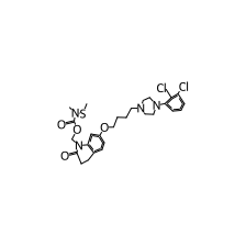 CSN(C)C(=O)OCN1C(=O)CCc2ccc(OCCCCN3CCN(c4cccc(Cl)c4Cl)CC3)cc21